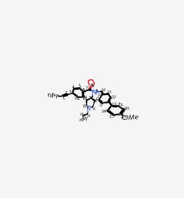 CCCC#Cc1ccc(C(=O)N(Cc2ccc(-c3ccc(OC)cc3)cc2)C2CCN(CCC(C)C)CC2)cc1